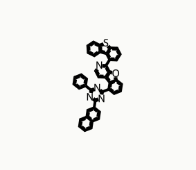 c1ccc(-c2nc(-c3ccc4ccccc4c3)nc(-c3cccc4oc5c(-c6cccc7sc8ccccc8c67)nccc5c34)n2)cc1